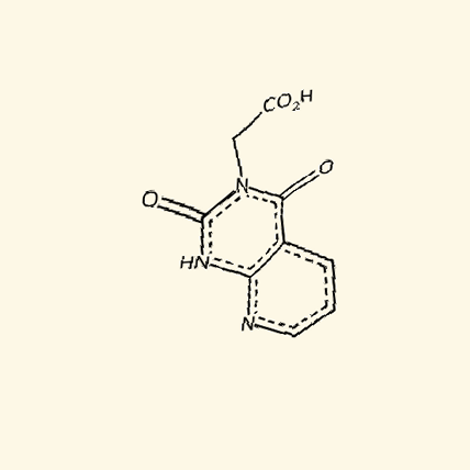 O=C(O)Cn1c(=O)[nH]c2ncccc2c1=O